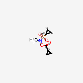 CN(OC(=O)C1CC1)S(=O)(=O)C1CC1